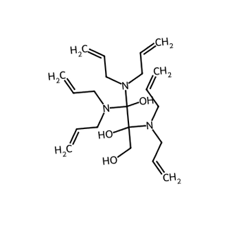 C=CCN(CC=C)C(O)(CO)C(O)(N(CC=C)CC=C)N(CC=C)CC=C